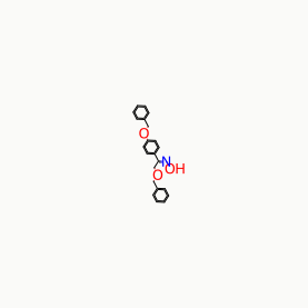 ON=C(COCc1ccccc1)c1ccc(OCc2ccccc2)cc1